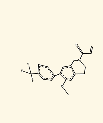 C=CC(=O)N1CCc2cc(OC)c(-c3ccc(C(F)(F)F)cc3)cc2C1